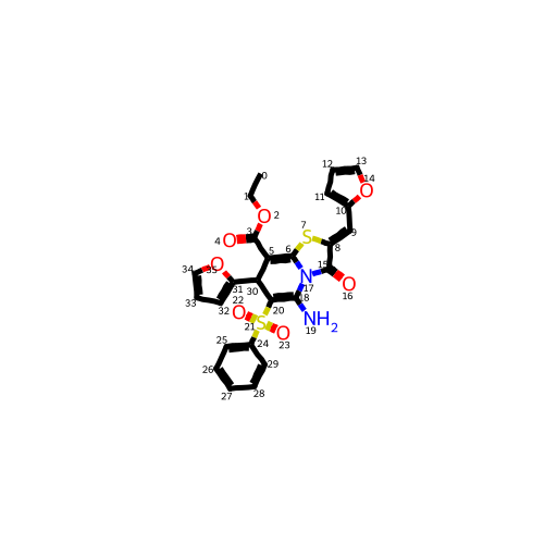 CCOC(=O)C1=c2s/c(=C\c3ccco3)c(=O)n2C(N)=C(S(=O)(=O)c2ccccc2)C1c1ccco1